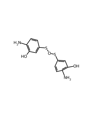 Nc1ccc(SOSc2ccc(N)c(O)c2)cc1O